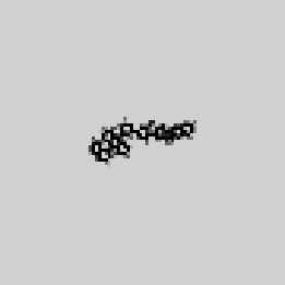 c1cc(-c2ccc3c(c2)oc2cc4c(cc23)oc2cc3ccccc3cc24)cc(-c2c3ccccc3c(-c3cccc4ccccc34)c3ccccc23)c1